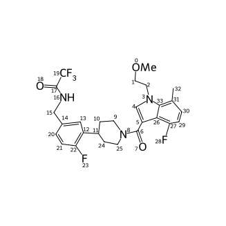 COCCn1cc(C(=O)N2CCC(c3cc(CNC(=O)C(F)(F)F)ccc3F)CC2)c2c(F)ccc(C)c21